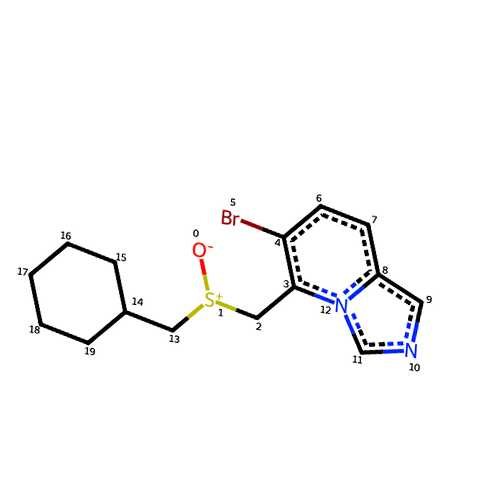 [O-][S+](Cc1c(Br)ccc2cncn12)CC1CCCCC1